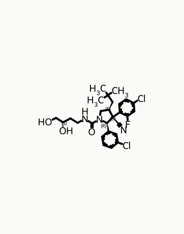 CC(C)(C)C[C@@H]1CN(C(=O)NCC[C@H](O)CO)[C@H](c2cccc(Cl)c2)[C@@]1(C#N)c1ccc(Cl)cc1F